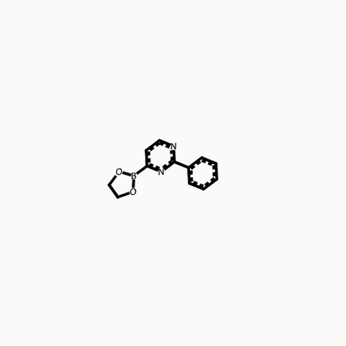 c1ccc(-c2nccc(B3OCCO3)n2)cc1